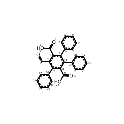 O=Ic1c(C(=O)O)c(-c2ccccc2)c(-c2ccccc2)c(C(=O)O)c1-c1ccccc1